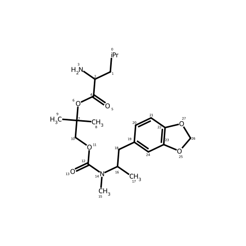 CC(C)CC(N)C(=O)OC(C)(C)COC(=O)N(C)C(C)Cc1ccc2c(c1)OCO2